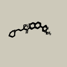 C=C(CCN1CCCCC1)Nc1cc2cc(-c3cnn(C)c3)ccc2cn1